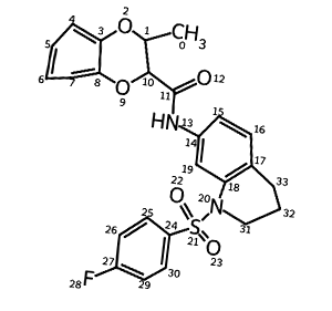 CC1Oc2ccccc2OC1C(=O)Nc1ccc2c(c1)N(S(=O)(=O)c1ccc(F)cc1)CCC2